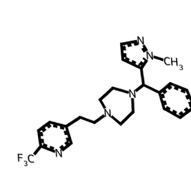 Cn1nccc1C(c1ccccc1)N1CCN(CCc2ccc(C(F)(F)F)nc2)CC1